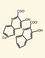 O=C([O-])c1nc2ccccc2cc1O.O=C([O-])c1nc2ccccc2cc1O.[Ca+2]